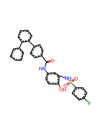 O=C(Nc1ccc(O)c(NS(=O)(=O)c2ccc(F)cc2)c1)c1ccc(-c2ccccc2-c2ccccc2)cc1